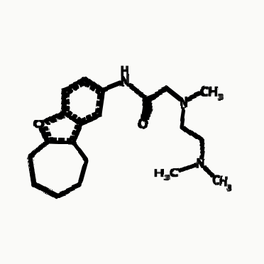 CN(C)CCN(C)CC(=O)Nc1ccc2oc3c(c2c1)CCCCC3